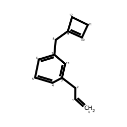 C=CCc1cccc(CC2=CCC2)c1